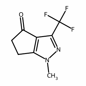 Cn1nc(C(F)(F)F)c2c1CCC2=O